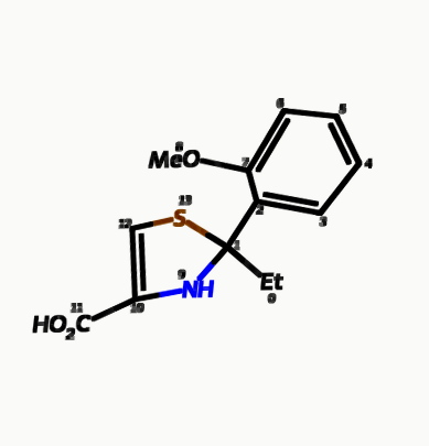 CCC1(c2ccccc2OC)NC(C(=O)O)=CS1